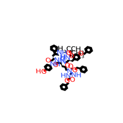 CC(C)(C)OC(=O)N[C@@H](Cc1ccc(OCc2ccccc2)cc1)C(=O)N[C@@H](CCCN(C(=N)NC(=O)OCc1ccccc1)C(=O)OCc1ccccc1)C(=O)N[C@@H](Cc1c[nH]c2ccccc12)C(=O)Nc1ccc(O)cc1